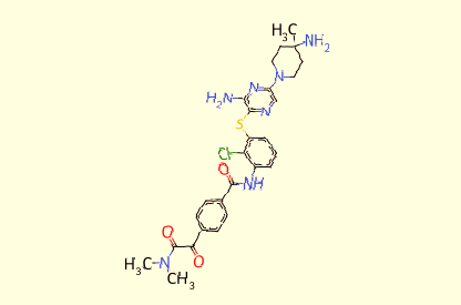 CN(C)C(=O)C(=O)c1ccc(C(=O)Nc2cccc(Sc3ncc(N4CCC(C)(N)CC4)nc3N)c2Cl)cc1